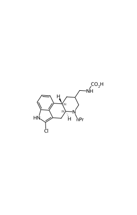 CCCN1CC(CNC(=O)O)C[C@H]2c3cccc4[nH]c(Cl)c(c34)C[C@@H]21